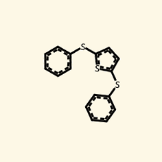 c1ccc(Sc2ccc(Sc3ccccc3)s2)cc1